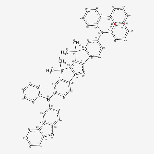 CC1(C)c2cc(N(c3ccccc3)c3ccc4oc5ccccc5c4c3)ccc2-c2sc3c(c21)C(C)(C)c1cc(N(c2ccccc2)c2ccccc2-c2ccccc2)ccc1-3